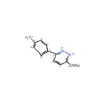 COc1ccc(-c2ccc(C(F)(F)F)cc2)nn1